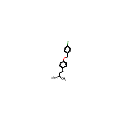 CNC(C)CCc1ccc(OCc2ccc(F)cc2)cc1